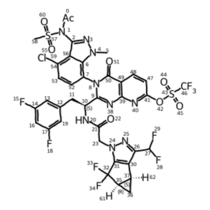 CC(=O)N(c1nn(C)c2c(-n3c([C@H](Cc4cc(F)cc(F)c4)NC(=O)Cn4nc(C(F)F)c5c4C(F)(F)[C@@H]4C[C@H]54)nc4nc(OS(=O)(=O)C(F)(F)F)ccc4c3=O)ccc(Cl)c12)S(C)(=O)=O